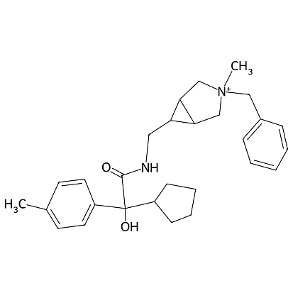 Cc1ccc(C(O)(C(=O)NCC2C3C[N+](C)(Cc4ccccc4)CC23)C2CCCC2)cc1